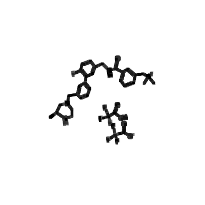 C[C@H]1CN(Cc2cccc(-c3cc(CNC(=O)c4cccc(C[N+](C)(C)C)c4)ccc3F)c2)CCN1.O=C(O)C(F)(F)F.O=C([O-])C(F)(F)F